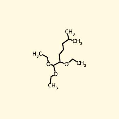 CCO[C](OCC)C(CCCC(C)C)OCC